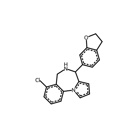 Clc1cccc2c1CNC(c1ccc3c(c1)OCC3)c1cccn1-2